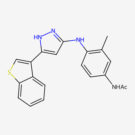 CC(=O)Nc1ccc(Nc2cc(-c3csc4ccccc34)[nH]n2)c(C)c1